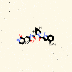 COC(=O)C(C[C@@H]1CCCNC1=O)NC(=O)[C@@H]1[C@H]2C[C@H]2CN1C(=O)c1cc2c(OC)cccc2[nH]1